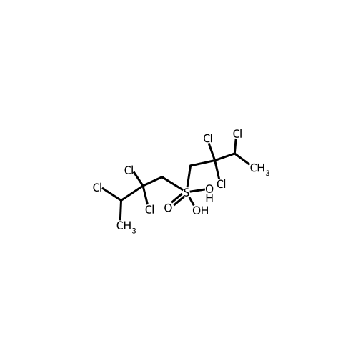 CC(Cl)C(Cl)(Cl)CS(=O)(O)(O)CC(Cl)(Cl)C(C)Cl